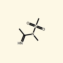 CC(=N)N(C)S(C)(=O)=O